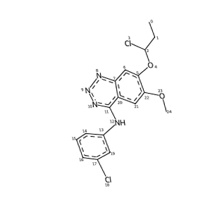 CCC(Cl)Oc1cc2nnnc(Nc3cccc(Cl)c3)c2cc1OC